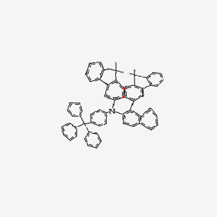 CC1(C)c2ccccc2-c2cc(-c3c(N(c4ccc(C(c5ccccc5)(c5ccccc5)c5ccccc5)cc4)c4ccc5c(c4)-c4ccccc4C5(C)C)ccc4ccccc34)ccc21